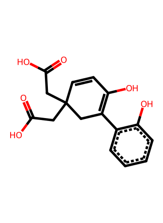 O=C(O)CC1(CC(=O)O)C=CC(O)=C(c2ccccc2O)C1